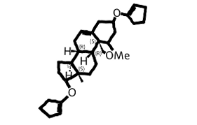 COC[C@]12C(=CC[C@@H]3[C@H]1CC[C@]1(C)C(OC4=CCCC4)CC[C@@H]31)CC(OC1=CCCC1)CC2C